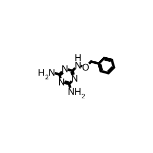 Nc1nc(N)nc(NOCc2ccccc2)n1